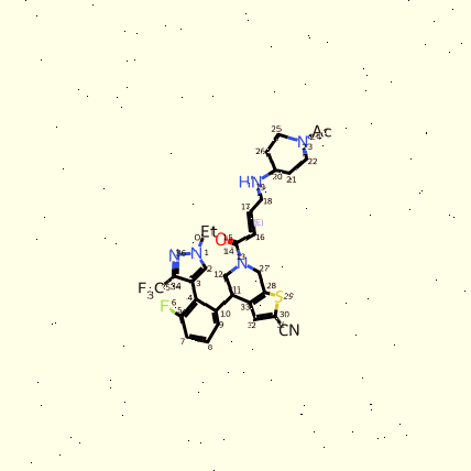 CCn1cc(-c2c(F)cccc2C2CN(C(=O)/C=C/CNC3CCN(C(C)=O)CC3)Cc3sc(C#N)cc32)c(C(F)(F)F)n1